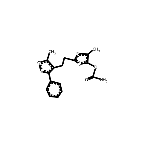 Cc1nc(CCc2c(-c3ccccc3)noc2C)sc1OC(N)=O